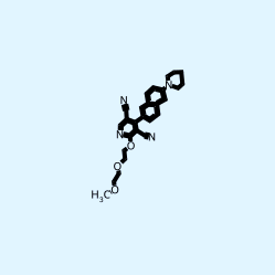 COCCOCCOc1ncc(C#N)c(-c2ccc3cc(N4CCCCC4)ccc3c2)c1C#N